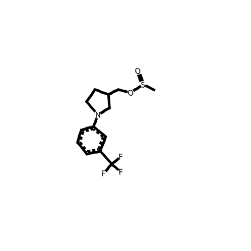 CS(=O)OCC1CCN(c2cccc(C(F)(F)F)c2)C1